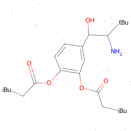 CCC(C)CC(=O)Oc1ccc(C(O)C(N)C(C)(C)C)cc1OC(=O)CC(C)CC